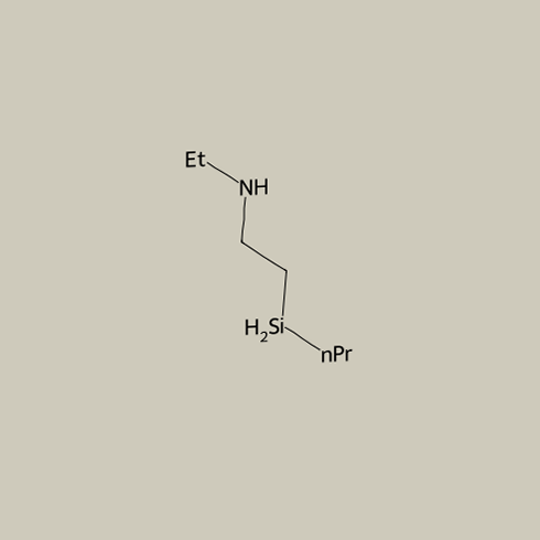 CCC[SiH2]CCNCC